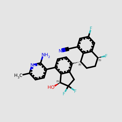 Cc1ccc(-c2ccc([C@H]3CC[C@H](F)c4cc(F)cc(C#N)c43)c3c2[C@H](O)C(F)(F)C3)c(N)n1